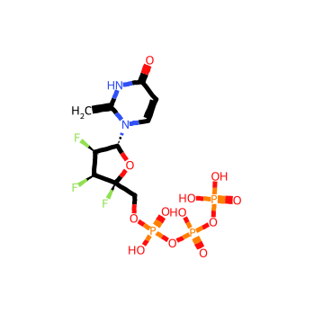 C=C1NC(=O)C=CN1[C@@H]1O[C@](F)(COP(=O)(O)OP(=O)(O)OP(=O)(O)O)[C@@H](F)[C@H]1F